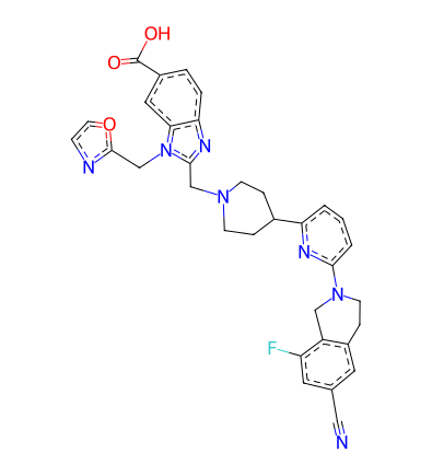 N#Cc1cc(F)c2c(c1)CCN(c1cccc(C3CCN(Cc4nc5ccc(C(=O)O)cc5n4Cc4ncco4)CC3)n1)C2